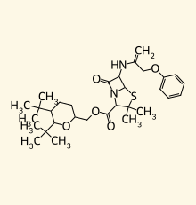 C=C(COc1ccccc1)NC1C(=O)N2C1SC(C)(C)C2C(=O)OCC1CCC(C(C)(C)C)C(C(C)(C)C)O1